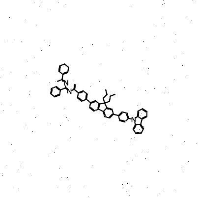 C=C(/N=C(\N=C(/C)C1=CCCC=C1)c1ccccc1)c1ccc(-c2ccc3c(c2)C(CCC)(CCC)c2cc(-c4ccc(-n5c6ccccc6c6ccccc65)cc4)ccc2-3)cc1